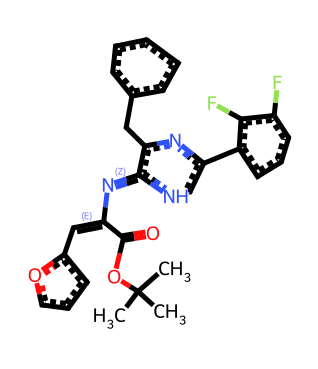 CC(C)(C)OC(=O)C(=C\c1ccco1)/N=c1\[nH]cc(-c2cccc(F)c2F)nc1Cc1ccccc1